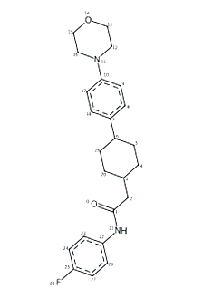 O=C(CC1CCC(c2ccc(N3CCOCC3)cc2)CC1)Nc1ccc(F)cc1